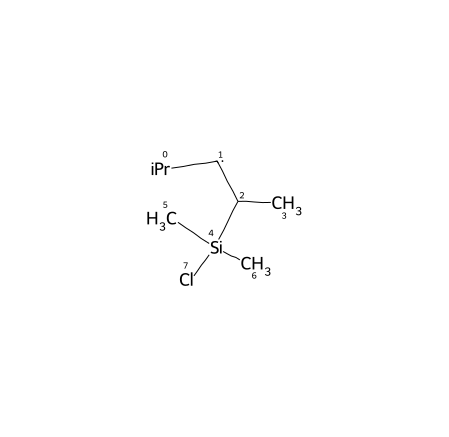 CC(C)[CH]C(C)[Si](C)(C)Cl